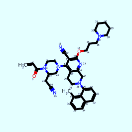 C=CC(=O)N1CCN(c2c(C#N)c(OCCCN3CCCCC3)nc3c2CCN(c2cccc4cccc(C)c24)C3)CC1CC#N